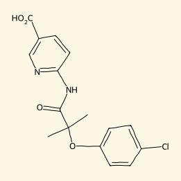 CC(C)(Oc1ccc(Cl)cc1)C(=O)Nc1ccc(C(=O)O)cn1